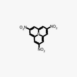 O=[N+]([O-])C1=CC2=CC([N+](=O)[O-])=CC3=CC([N+](=O)[O-])=CC(=C1)N23